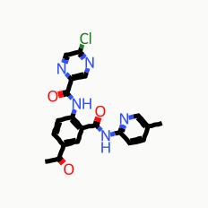 CC(=O)c1ccc(NC(=O)c2cnc(Cl)cn2)c(C(=O)Nc2ccc(C)cn2)c1